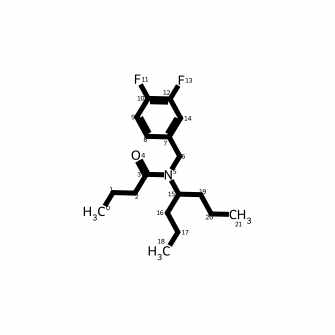 CCCC(=O)N(Cc1ccc(F)c(F)c1)C(CCC)CCC